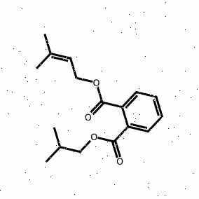 CC(C)=CCOC(=O)c1ccccc1C(=O)OCC(C)C